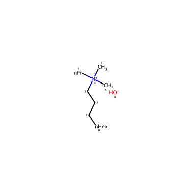 CCCCCCCCC[N+](C)(C)CCC.[OH-]